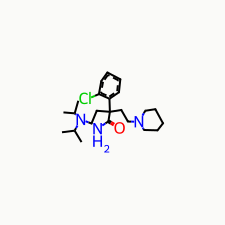 CC(C)N(CCC(CCN1CCCCC1)(C(N)=O)c1ccccc1Cl)C(C)C